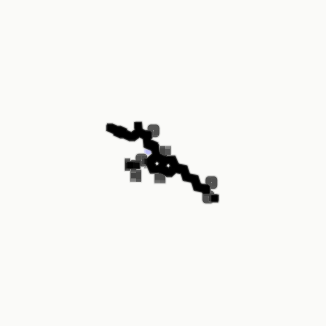 CC#CCC(C)C(=O)/C=C/C1[C@H]2CC(=CCCCC(=O)OC)C[C@H]2C[C@H]1OPI